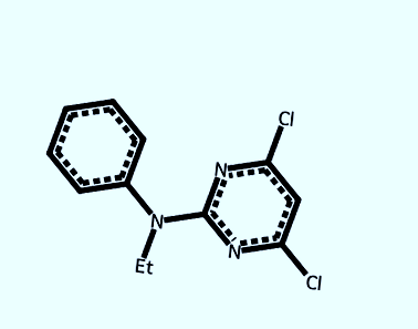 CCN(c1ccccc1)c1nc(Cl)cc(Cl)n1